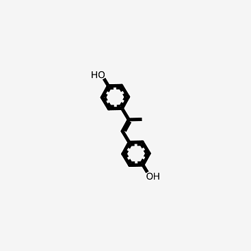 C/C(=C\c1ccc(O)cc1)c1ccc(O)cc1